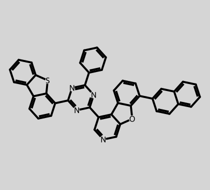 c1ccc(-c2nc(-c3cccc4c3sc3ccccc34)nc(-c3cncc4oc5c(-c6ccc7ccccc7c6)cccc5c34)n2)cc1